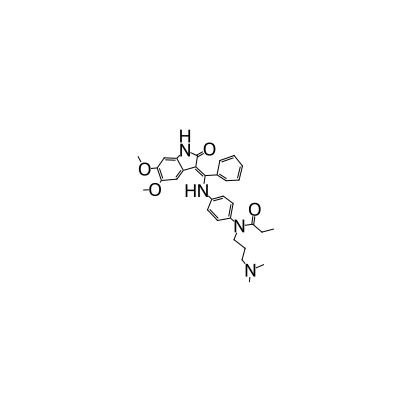 CCC(=O)N(CCCN(C)C)c1ccc(NC(=C2C(=O)Nc3cc(OC)c(OC)cc32)c2ccccc2)cc1